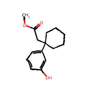 COC(=O)CC1(c2cccc(O)c2)CCCCC1